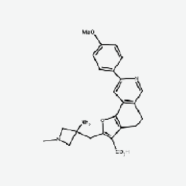 COc1ccc(-c2cc3c(cn2)CCc2c-3oc(CC3(N)CN(C)C3)c2C(=O)O)cc1